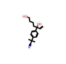 C=CC(O)(CCCCO)c1ccc(C(C)(C)C#N)cc1